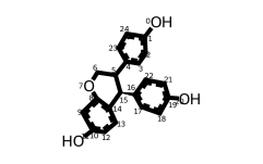 Oc1ccc(C2COc3cc(O)ccc3[C@@H]2c2ccc(O)cc2)cc1